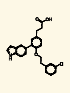 O=C(O)CCc1ccc(OCCc2cccc(Cl)c2)c(-c2ccc3[nH]ccc3c2)c1